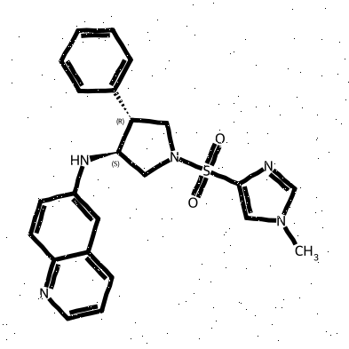 Cn1cnc(S(=O)(=O)N2C[C@@H](Nc3ccc4ncccc4c3)[C@H](c3ccccc3)C2)c1